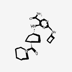 NC(=O)c1cnc(NC2CCC2)nc1N[C@H]1CC[C@@H](C(=O)N2CCCCC2)CC1